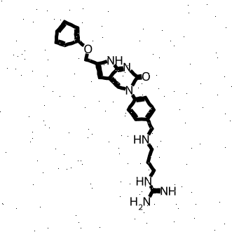 N=C(N)NCCCNCc1ccc(-n2cc3cc(COc4ccccc4)[nH]c3nc2=O)cc1